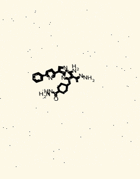 CC(=NN)c1c(CC2CCC(C(=O)NN)CC2)nc2c(-c3ccc(-c4ccccc4)nc3)cnn2c1N